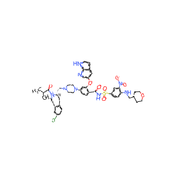 CC(C)C(=O)N1Cc2cc(Cl)ccc2C[C@H]1CN1CCN(c2ccc(C(=O)NS(=O)(=O)c3ccc(NCC4CCOCC4)c([N+](=O)[O-])c3)c(Oc3cnc4[nH]ccc4c3)c2)CC1